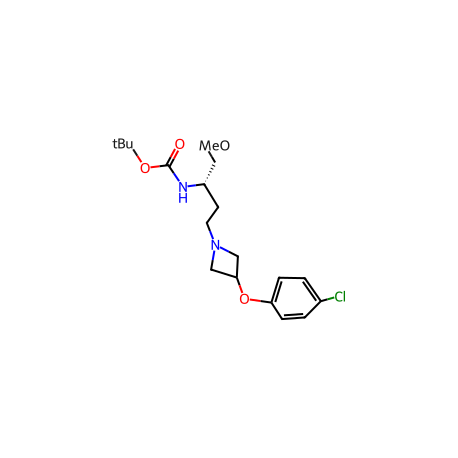 COC[C@H](CCN1CC(Oc2ccc(Cl)cc2)C1)NC(=O)OC(C)(C)C